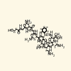 CCNC(=O)C(NC(=O)[C@H](CCN)NC(=O)[C@H](CCN)NC(=O)[C@H](CC(C)C)NC(=O)[C@@H](Cc1ccccc1)NC(=O)[C@H](CCN)NC(=O)CNC(=O)[C@H](CCN)NC(=O)CNC(=O)CCO)C(C)O